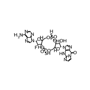 Nc1ncnc2c1ncn2[C@@H]1O[C@@H]2COP(=O)(S)O[C@H]3[C@@H](O)[C@H](n4cnc5c(=O)n6ccnc6[nH]c54)O[C@@H]3COP(=O)(S)O[C@H]2[C@H]1F